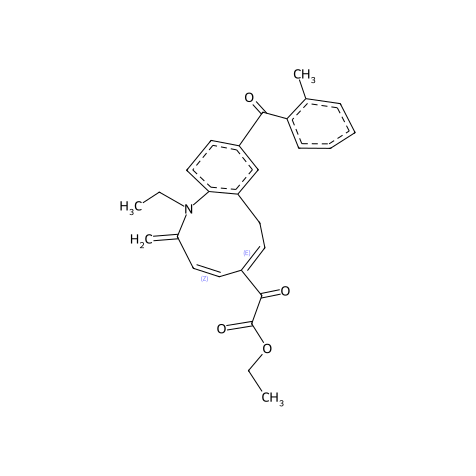 C=C1/C=C\C(C(=O)C(=O)OCC)=C/Cc2cc(C(=O)c3ccccc3C)ccc2N1CC